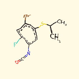 CC(C)Sc1cc(N=C=O)c(F)cc1Br